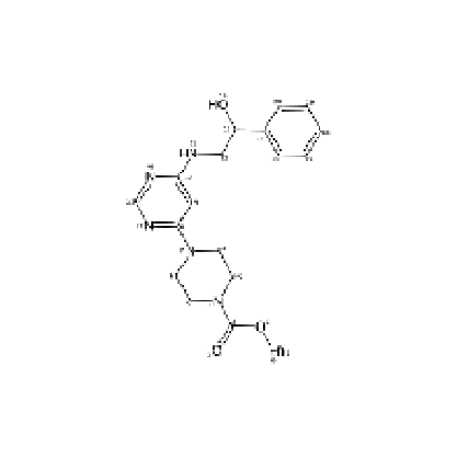 CC(C)(C)OC(=O)N1CCN(c2cc(NCC(O)c3ccccc3)ncn2)CC1